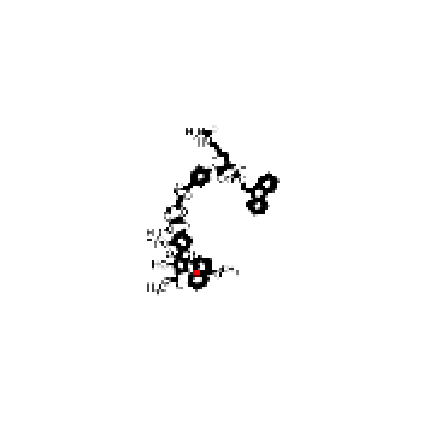 COC(=O)[C@H]1[C@@H](O)[C@@]2(O)c3c(OC)cc(O[C@@H]4O[C@@H]([C@H]5COC(c6ccc(NC(=O)C(CCCNC(N)=O)NC(=O)OCC7c8ccccc8-c8ccccc87)cc6)O5)CO[C@H]4OC)cc3O[C@@]2(c2ccc(OC)cc2)[C@@H]1c1ccccc1